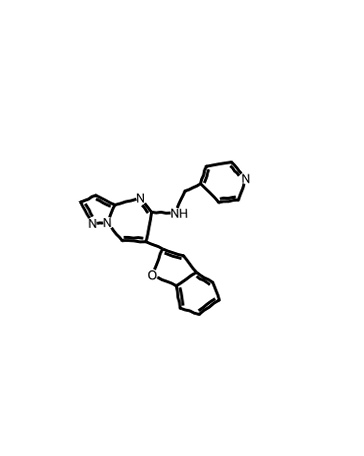 c1ccc2oc(-c3cn4nccc4nc3NCc3ccncc3)cc2c1